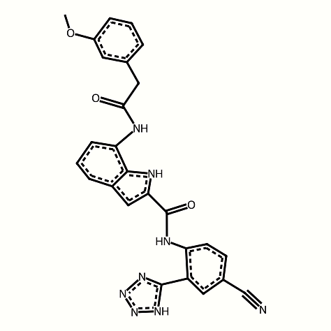 COc1cccc(CC(=O)Nc2cccc3cc(C(=O)Nc4ccc(C#N)cc4-c4nnn[nH]4)[nH]c23)c1